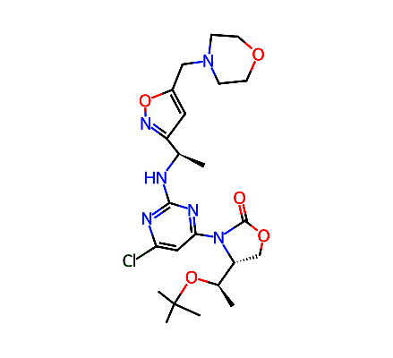 C[C@@H](Nc1nc(Cl)cc(N2C(=O)OC[C@@H]2[C@@H](C)OC(C)(C)C)n1)c1cc(CN2CCOCC2)on1